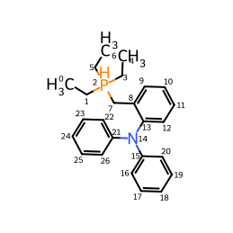 CC[PH](CC)(CC)Cc1ccccc1N(c1ccccc1)c1ccccc1